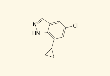 Clc1cc(C2CC2)c2[nH]ncc2c1